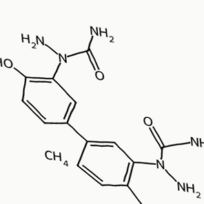 C.NC(=O)N(N)c1cc(-c2ccc(O)c(N(N)C(N)=O)c2)ccc1O